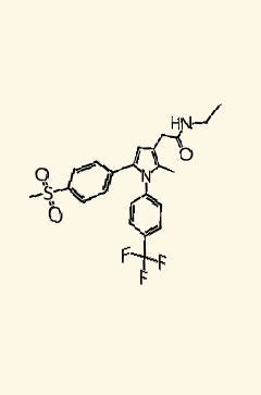 CCNC(=O)Cc1cc(-c2ccc(S(C)(=O)=O)cc2)n(-c2ccc(C(F)(F)F)cc2)c1C